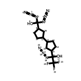 [N-]=[N+]=NC(O)(N=[N+]=[N-])C1CCC(C2CCC(C(O)(N=[N+]=[N-])C(F)(F)F)C2)C1